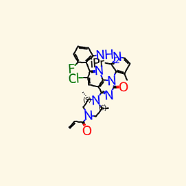 C=CC(=O)N1C[C@H](C)N(c2nc(=O)n(-c3c(C)ccnc3C(C)C)c3nc(-c4c(N)cccc4F)c(Cl)cc23)[C@@H](C)C1